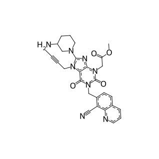 CC#CCn1c(N2CCCC(N)C2)nc2c1c(=O)n(Cc1ccc3cccnc3c1C#N)c(=O)n2CC(=O)OC